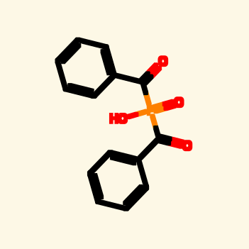 O=C(c1ccccc1)P(=O)(O)C(=O)c1ccccc1